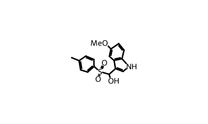 COc1ccc2[nH]cc(C(O)S(=O)(=O)c3ccc(C)cc3)c2c1